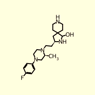 C[C@H]1CN(c2ccc(F)cc2)CCN1CC[C@H]1CC2(CCNCC2)C(O)N1